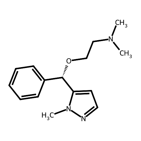 CN(C)CCO[C@@H](c1ccccc1)c1ccnn1C